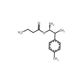 CCCC(=O)O[C@@H](C)C(C)c1ccc(C)cc1